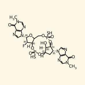 Cn1cnc2c(ncn2[C@@H]2C[C@@H]3OP(=O)(S)O[C@@H]4C(COP(=O)(S)O[C@@H]2[C@@H]3O)O[C@@H](n2cnc3c(=O)n(C)cnc32)[C@@H]4F)c1=O